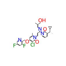 C/C(=C/N=C(\C=C\n1c(C)cc(OCc2ncc(F)cc2F)c(Cl)c1=O)n1cccc([C@@H](C)C2CC2)c1=O)CO